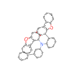 c1ccc(-c2cccc(N(c3ccccc3-c3cccc4c3oc3ccccc34)c3cccc4oc5ccccc5c34)c2)cc1